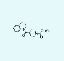 CC(C)(C)OC(=O)N1CC=C(C(=O)N2CCCc3ccccc32)CC1